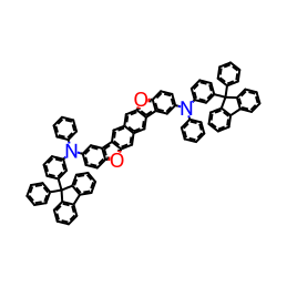 c1ccc(N(c2cccc(C3(c4ccccc4)c4ccccc4-c4ccccc43)c2)c2ccc3oc4cc5cc6c(cc5cc4c3c2)oc2ccc(N(c3ccccc3)c3cccc(C4(c5ccccc5)c5ccccc5-c5ccccc54)c3)cc26)cc1